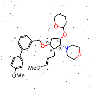 COC=CC[C@@H]1[C@@H](N2CCOCC2)[C@H](OC2CCCCO2)C[C@@H]1OCc1cccc(-c2ccc(OC)cc2)c1